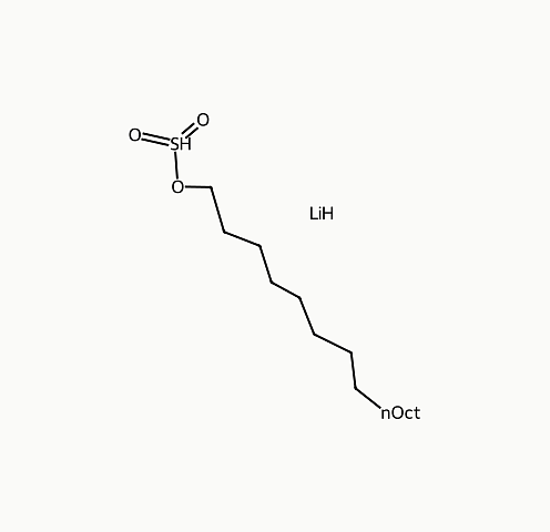 CCCCCCCCCCCCCCCCO[SH](=O)=O.[LiH]